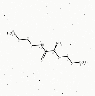 N[C@@H](CCCC(=O)O)C(=O)NCCCS(=O)(=O)O